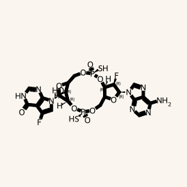 Nc1ncnc2c1ncn2[C@@H]1OC2CO[P@@](=O)(S)O[C@@H]3[C@H](O)C(CO[P@@](=O)(S)O[C@H]2[C@H]1F)O[C@H]3n1cc(F)c2c(=O)[nH]cnc21